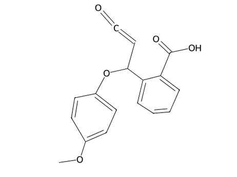 COc1ccc(OC(C=C=O)c2ccccc2C(=O)O)cc1